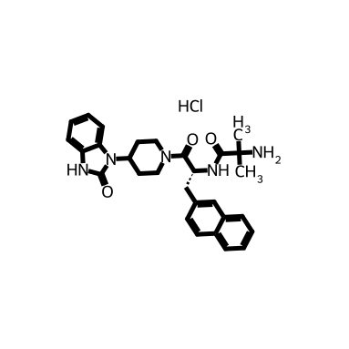 CC(C)(N)C(=O)N[C@H](Cc1ccc2ccccc2c1)C(=O)N1CCC(n2c(=O)[nH]c3ccccc32)CC1.Cl